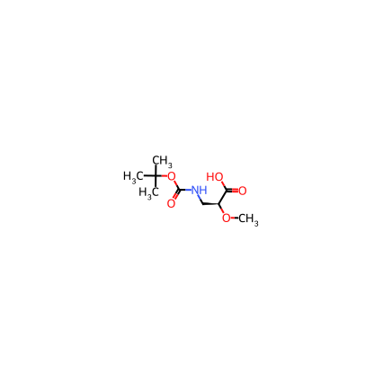 CO[C@@H](CNC(=O)OC(C)(C)C)C(=O)O